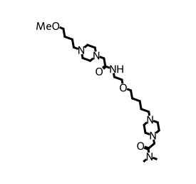 COCCCCN1CCN(CC(=O)NCCOCCCCCN2CCN(CC(=O)N(C)C)CC2)CC1